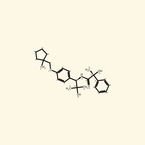 CC1(COc2ccc([C@@H](NC(=O)[C@](C)(O)c3ccccc3)C(C)(C)O)cc2)CCCC1